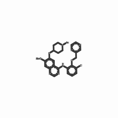 COc1cc2ncnc(Nc3cccc(Cl)c3OCc3cnccn3)c2cc1OC1CCN(C(C)=O)CC1